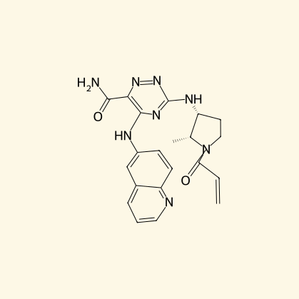 C=CC(=O)N1CC[C@@H](Nc2nnc(C(N)=O)c(Nc3ccc4ncccc4c3)n2)[C@H]1C